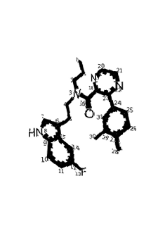 CCCN(CCc1c[nH]c2ccc(F)cc12)C(=O)c1nccnc1-c1ccc(C)c(C)c1